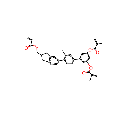 C=CC(=O)OCC1Cc2ccc(-c3ccc(-c4cc(OC(=O)C(=C)C)cc(OC(=O)C(=C)C)c4)cc3C)cc2C1